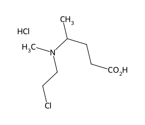 CC(CCC(=O)O)N(C)CCCl.Cl